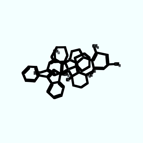 Cc1cc(C)c(N2CCN(c3c(C)cc(C)cc3C)C2=C2C(Cl)CCCC2(Cl)P(=C2C=C(c3ccccc3)c3ccccc32)(C2CCCCC2)C2CCCCC2)c(C)c1